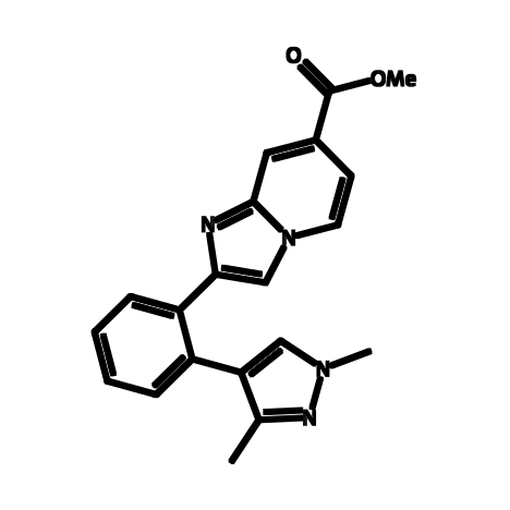 COC(=O)c1ccn2cc(-c3ccccc3-c3cn(C)nc3C)nc2c1